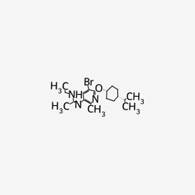 CCNC(C)=Nc1cc(Br)c(O[C@H]2CC[C@@H](C(C)C)CC2)nc1C